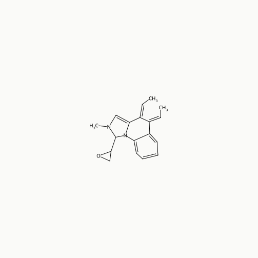 C/C=C1/C2=CN(C)C(C3CO3)N2c2ccccc2/C1=C/C